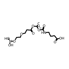 CC(OC(=O)CCOCCON(O)O)OC(=O)NCCCC(=O)O